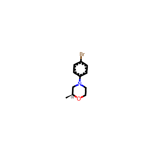 C[C@H]1CN(c2ccc(Br)cc2)CCO1